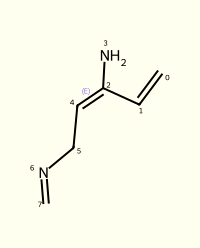 C=C/C(N)=C\CN=C